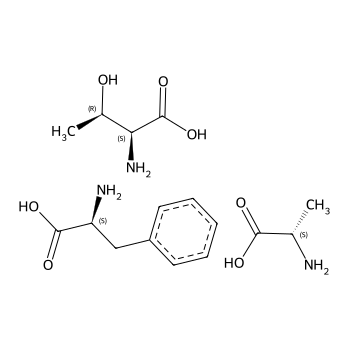 C[C@@H](O)[C@H](N)C(=O)O.C[C@H](N)C(=O)O.N[C@@H](Cc1ccccc1)C(=O)O